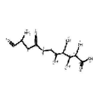 NC(C=O)CC(=O)NCC(O)C(O)C(O)C(O)C(=O)O